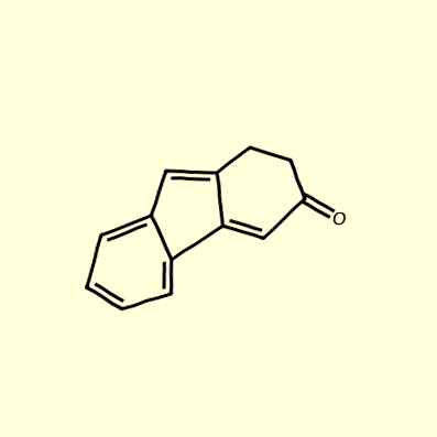 O=C1C=C2C(=Cc3ccccc32)CC1